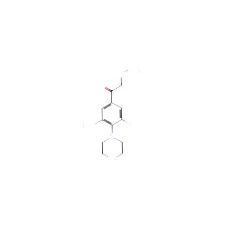 O=COCC(=O)c1cc(F)c(N2CCOCC2)c(C(F)(F)F)c1